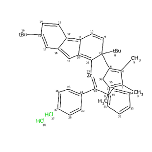 CC1=C(C)C(C)=C(C2(C(C)(C)C)C=CC3=c4ccc(C(C)(C)C)cc4=CC3=[C]2[Zr]=[C](c2ccccc2)c2ccccc2)C1.Cl.Cl